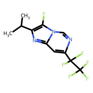 CC(C)c1nc2cc(C(F)(F)C(F)(F)F)ncn2c1F